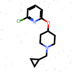 Clc1cccc(OC2CCN(CC3CC3)CC2)n1